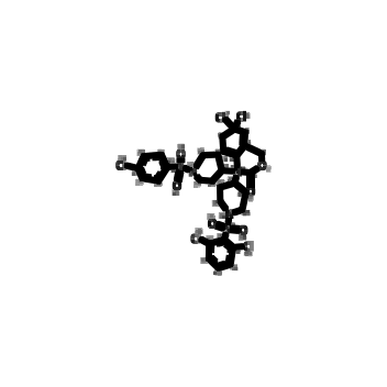 O=C1OCC2=CC(Cl)(Cl)CC=C2[N+]1(C1CCN(S(=O)(=O)c2ccc(Cl)cc2)CC1)C1CCN(S(=O)(=O)c2c(Cl)cccc2Cl)CC1